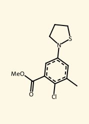 COC(=O)c1cc(N2CCCS2)cc(C)c1Cl